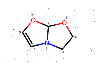 C1=CN2CCOC2O1